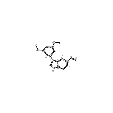 COc1cc(OC)cc(-n2cnc3ccc(C=O)nc32)c1